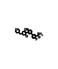 Cc1ccc(-c2ccc(F)c(C(N)=O)c2)cc1C1=C(O)CC(CC2CCOCC2)CC1=O